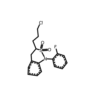 O=S1(=O)C(CCCCl)Cc2ccccc2N1c1ccccc1F